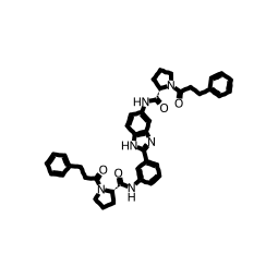 O=C(Nc1cccc(-c2nc3cc(NC(=O)[C@@H]4CCCN4C(=O)CCc4ccccc4)ccc3[nH]2)c1)[C@@H]1CCCN1C(=O)CCc1ccccc1